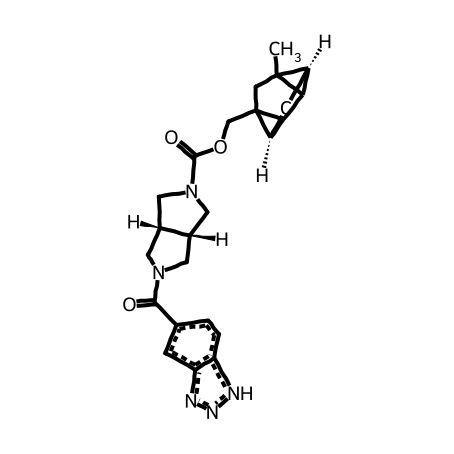 CC12CC3(COC(=O)N4C[C@@H]5CN(C(=O)c6ccc7[nH]nnc7c6)C[C@@H]5C4)C4C1[C@H]2C[C@@H]43